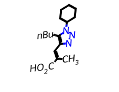 CCCCc1c(C=C(C)C(=O)O)nnn1C1CCCCC1